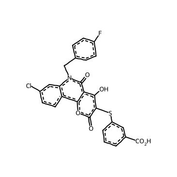 O=C(O)c1cccc(Sc2c(O)c3c(=O)n(Cc4ccc(F)cc4)c4cc(Cl)ccc4c3oc2=O)c1